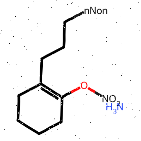 CCCCCCCCCCCCC1=C(O[N+](=O)[O-])CCCC1.N